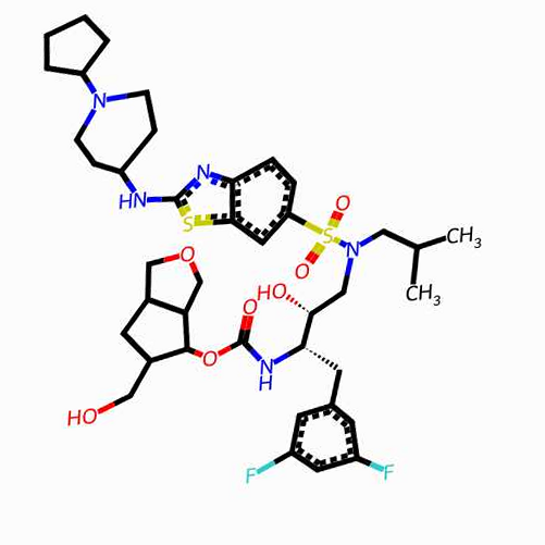 CC(C)CN(C[C@@H](O)[C@H](Cc1cc(F)cc(F)c1)NC(=O)OC1C(CO)CC2COCC21)S(=O)(=O)c1ccc2nc(NC3CCN(C4CCCC4)CC3)sc2c1